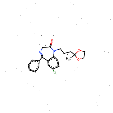 CC1(CCCN2C(=O)CN=C(c3ccccc3)c3cc(Cl)ccc32)OCCO1